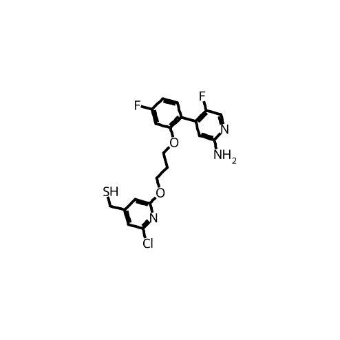 Nc1cc(-c2ccc(F)cc2OCCCOc2cc(CS)cc(Cl)n2)c(F)cn1